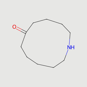 O=C1CCCCCNCCCC1